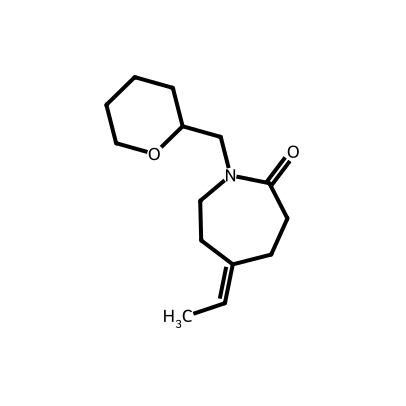 C/C=C1/CCC(=O)N(CC2CCCCO2)CC1